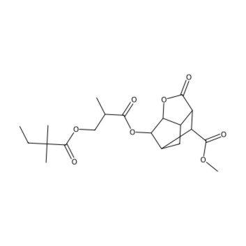 CCC(C)(C)C(=O)OCC(C)C(=O)OC1C2CC3C1OC(=O)C3C2C(=O)OC